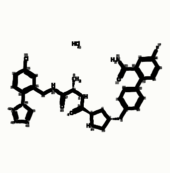 C[C@H](NC(=O)[C@H]1C[C@H](Cc2ccc(-c3ccc(F)cc3C(N)=O)cc2)CN1)C(=O)NCc1cc(Cl)ccc1-n1cnnn1.Cl